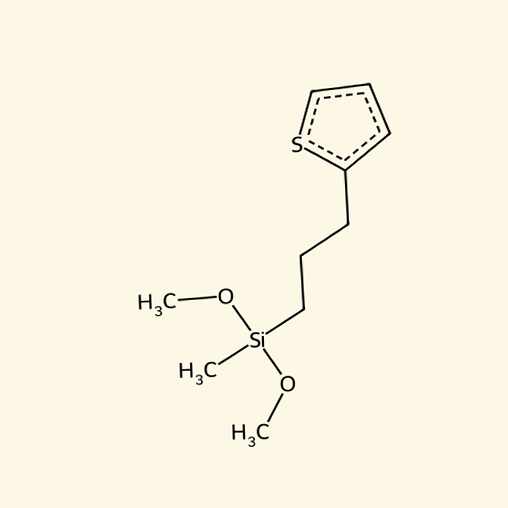 CO[Si](C)(CCCc1cccs1)OC